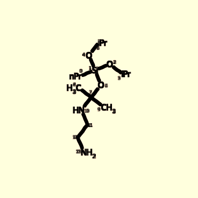 CCC[Si](OC(C)C)(OC(C)C)OC(C)(C)NCCN